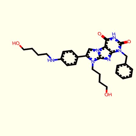 O=c1[nH]c(=O)n(Cc2ccccc2)c2nc3n(CCCCO)c(-c4ccc(NCCCCO)cc4)cn3c12